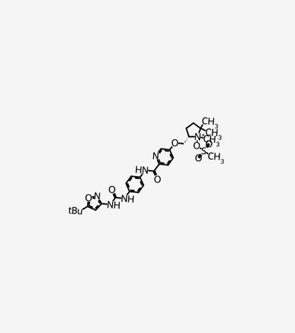 CC(C)(C)c1cc(NC(=O)Nc2ccc(NC(=O)c3ccc(OC[C@@H]4CCC(C)(C)[N+]4(C)OS(C)(=O)=O)cn3)cc2)no1